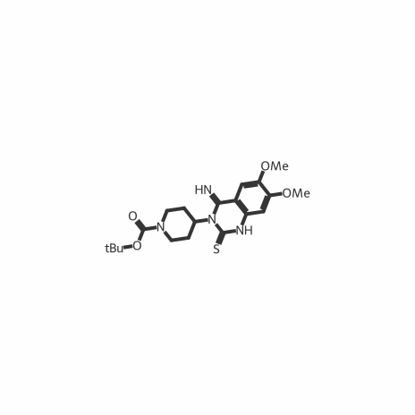 COc1cc2[nH]c(=S)n(C3CCN(C(=O)OC(C)(C)C)CC3)c(=N)c2cc1OC